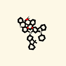 CC1(C)c2ccccc2-c2ccc(N(c3ccc4c(c3)C3(c5ccccc5S4)c4ccccc4-c4cccc5cccc3c45)c3ccc4c5ccccc5n(-c5ccccc5)c4c3)cc21